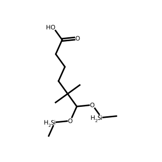 C[SiH2]OC(O[SiH2]C)C(C)(C)CCCC(=O)O